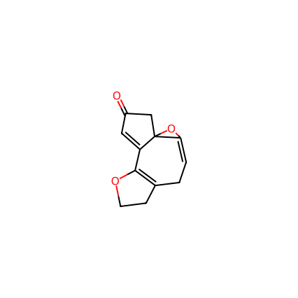 O=C1C=C2C3=C(CC=C4OC42C1)CCO3